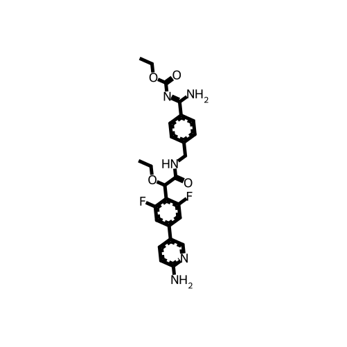 CCOC(=O)N=C(N)c1ccc(CNC(=O)C(OCC)c2c(F)cc(-c3ccc(N)nc3)cc2F)cc1